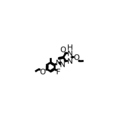 CCOc1cc(C)c(-n2cc3c(=O)[nH]c(OCC)nc3n2)c(F)c1